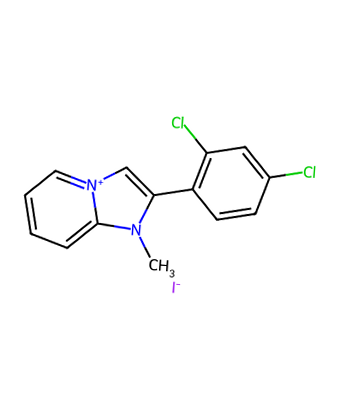 Cn1c(-c2ccc(Cl)cc2Cl)c[n+]2ccccc12.[I-]